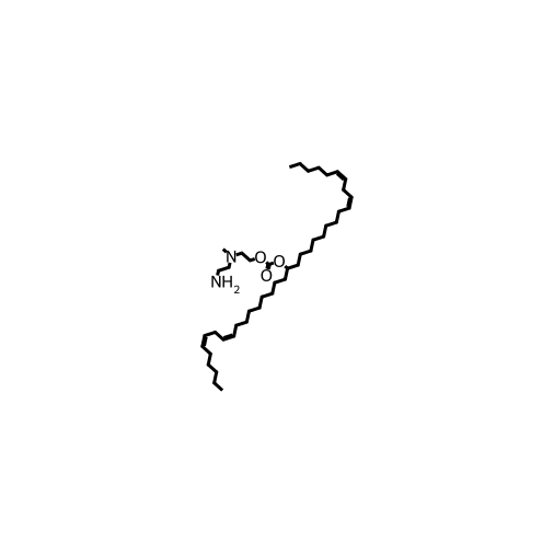 CCCCC/C=C\C/C=C\CCCCCCCCC(CCCCCCCC/C=C\C/C=C\CCCCC)OC(=O)OCCN(C)CCN